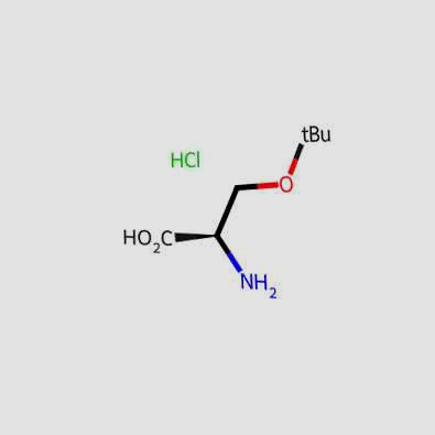 CC(C)(C)OC[C@@H](N)C(=O)O.Cl